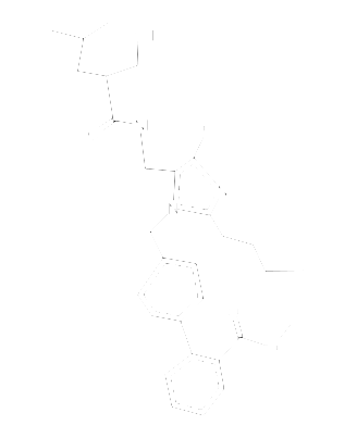 CCCCc1nc(Cl)c(CNC(=O)C(CS)CC(C)C)n1Cc1ccc(-c2ccccc2C(=O)OC)cc1